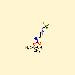 CC(C)(C)OC(=O)NCCNCC(F)(F)F